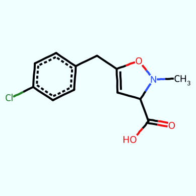 CN1OC(Cc2ccc(Cl)cc2)=CC1C(=O)O